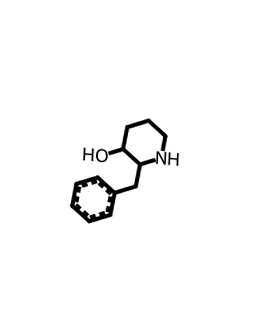 OC1CCCNC1Cc1ccccc1